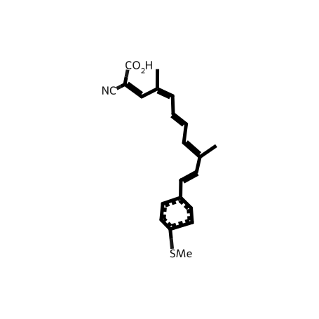 CSc1ccc(C=CC(C)=CC=CC=C(C)C=C(C#N)C(=O)O)cc1